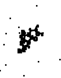 COC(C)CN1C(=O)c2cc(Br)sc2C1(C)C